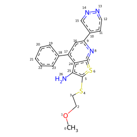 COCCSc1sc2nc(-c3ccnnc3)cc(-c3ccccc3)c2c1N